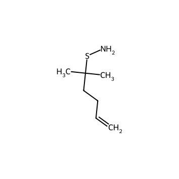 C=CCCC(C)(C)SN